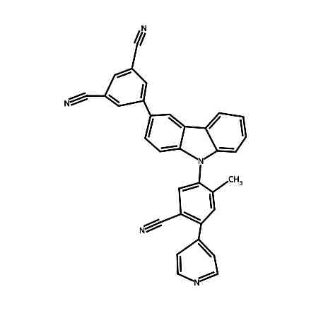 Cc1cc(-c2ccncc2)c(C#N)cc1-n1c2ccccc2c2cc(-c3cc(C#N)cc(C#N)c3)ccc21